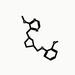 COc1ccccc1OCC1CCN(Cc2nccnc2OC)C1